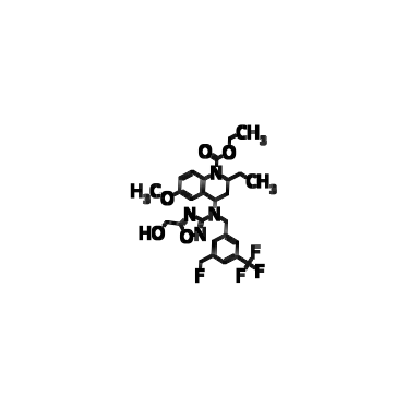 CCOC(=O)N1c2ccc(OC)cc2C(N(Cc2cc(CF)cc(C(F)(F)F)c2)c2noc(CO)n2)CC1CC